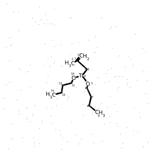 C=C(C)[CH2][Ti]([O]CCCC)[O]CCCC